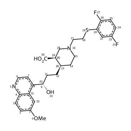 COc1ccc2nccc([C@@H](O)CC[C@@H]3CCN(CCSc4cc(F)ccc4F)C[C@@H]3C(=O)O)c2c1